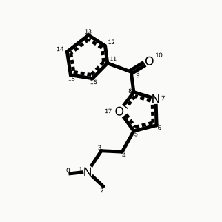 CN(C)CCc1cnc(C(=O)c2ccccc2)o1